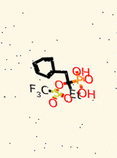 CCC(Cc1ccccc1)(OS(=O)(=O)C(F)(F)F)P(=O)(O)O